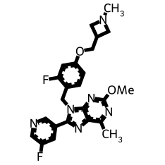 COc1nc(C)c2nc(-c3cncc(F)c3)n(Cc3ccc(OCC4CN(C)C4)cc3F)c2n1